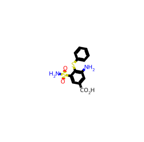 Nc1cc(C(=O)O)cc(S(N)(=O)=O)c1Sc1ccccc1